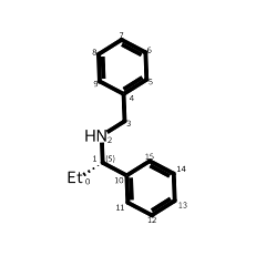 CC[C@H](NCc1ccccc1)c1ccccc1